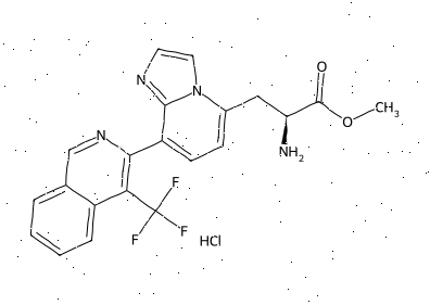 COC(=O)[C@@H](N)Cc1ccc(-c2ncc3ccccc3c2C(F)(F)F)c2nccn12.Cl